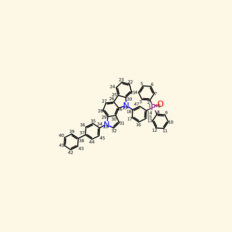 O=P(c1ccccc1)(c1ccccc1)c1cccc(-n2c3ccccc3c3ccc4c(ccn4-c4ccc(-c5ccccc5)cc4)c32)c1